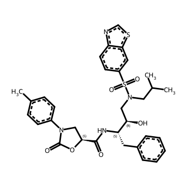 Cc1ccc(N2C[C@@H](C(=O)N[C@@H](Cc3ccccc3)[C@H](O)CN(CC(C)C)S(=O)(=O)c3ccc4ncsc4c3)OC2=O)cc1